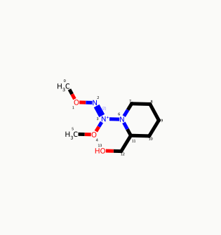 CO/N=[N+](\OC)N1CCCCC1CO